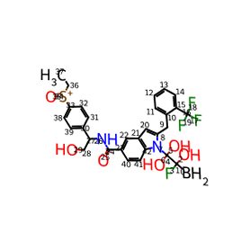 BC(O)(F)C(O)(O)n1c(Cc2ccccc2C(F)(F)F)cc2cc(C(=O)NC(CO)c3ccc([S+]([O-])CC)cc3)ccc21